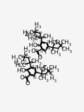 CC(C)(C)CC(C)(C)c1cc(C(=O)[O-])c(O)c(C(C)(C)CC(C)(C)C)c1.CC(C)(C)CC(C)(C)c1cc(C(=O)[O-])c(O)c(C(C)(C)CC(C)(C)C)c1.[Zn+2]